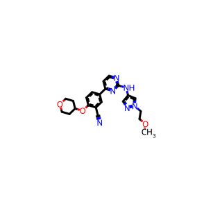 COCCn1cc(Nc2nccc(-c3ccc(OC4CCOCC4)c(C#N)c3)n2)cn1